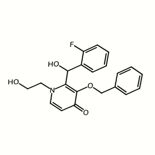 O=c1ccn(CCO)c(C(O)c2ccccc2F)c1OCc1ccccc1